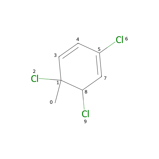 CC1(Cl)C=CC(Cl)=CC1Cl